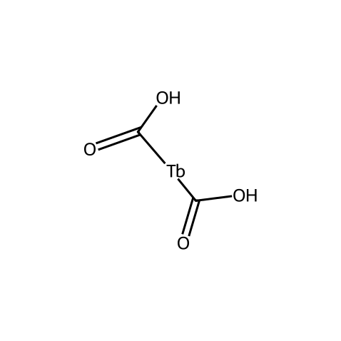 O=[C](O)[Tb][C](=O)O